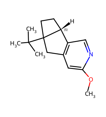 COc1cc2c(cn1)[C@H]1CCC1(C(C)(C)C)C2